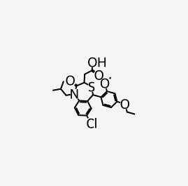 CCOc1ccc(C2SC(CC(=O)O)C(=O)N(CC(C)C)c3ccc(Cl)cc32)c(OC)c1